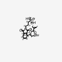 C=C(C)C(=O)OC(CC(C)(C)C)C12C=CC(O1)C1C(=O)N(CCCP(=O)(O)O)C(=O)C12